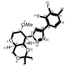 CO[C@H]1CO[C@@H]2COC(C)(C)O[C@@H]2[C@@H]1n1cc(-c2ccc(C)c(F)c2F)nn1